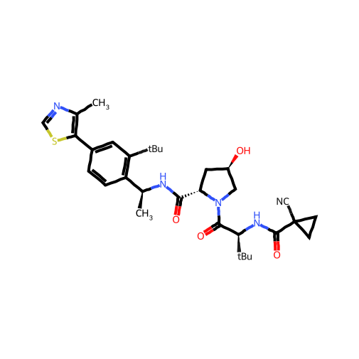 Cc1ncsc1-c1ccc([C@H](C)NC(=O)[C@@H]2C[C@@H](O)CN2C(=O)[C@@H](NC(=O)C2(C#N)CC2)C(C)(C)C)c(C(C)(C)C)c1